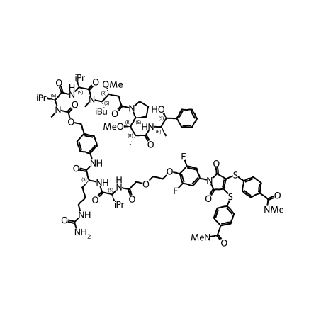 CCC(C)[C@@H]([C@@H](CC(=O)N1CCC[C@H]1[C@H](OC)[C@@H](C)C(=O)N[C@H](C)[C@@H](O)c1ccccc1)OC)N(C)C(=O)[C@@H](NC(=O)[C@H](C(C)C)N(C)C(=O)OCc1ccc(NC(=O)[C@H](CCCNC(N)=O)NC(=O)[C@@H](NC(=O)COCCOc2c(F)cc(N3C(=O)C(Sc4ccc(C(=O)NC)cc4)=C(Sc4ccc(C(=O)NC)cc4)C3=O)cc2F)C(C)C)cc1)C(C)C